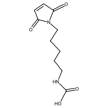 O=C(O)NCCCCCN1C(=O)C=CC1=O